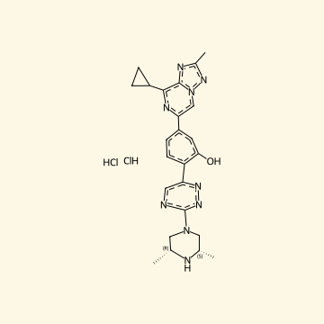 Cc1nc2c(C3CC3)nc(-c3ccc(-c4cnc(N5C[C@@H](C)N[C@@H](C)C5)nn4)c(O)c3)cn2n1.Cl.Cl